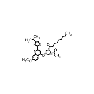 C=CCCCCCCC(=O)N1C[C@H](Oc2cc(-c3nc(C(C)C)cs3)nc3cc(OC)ccc23)C[C@H]1C(C)=O